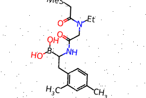 CCN(CC(=O)NC(Cc1ccc(C)cc1C)B(O)O)C(=O)CSC